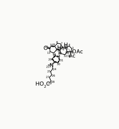 CC(=O)O[C@]1(C(C)=O)CC[C@H]2[C@@H]3CCC4=CC(=O)CCC4=C3[C@@H](c3ccc(N(C)CCCCCC(=O)O)cc3)C[C@@]21C